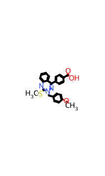 COc1ccc(CN2N=C(c3ccc(C(=O)O)cc3)c3ccccc3N=C2SC)cc1